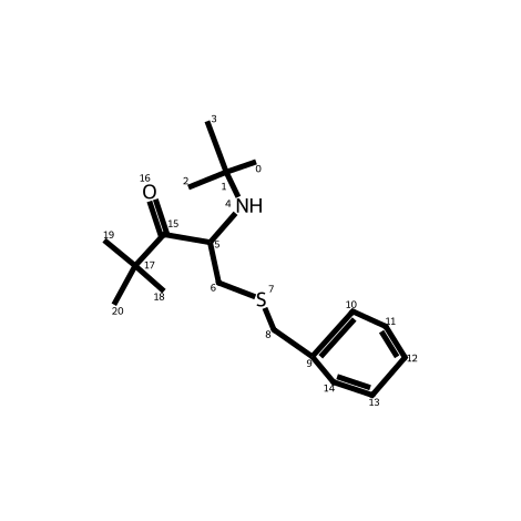 CC(C)(C)NC(CSCc1ccccc1)C(=O)C(C)(C)C